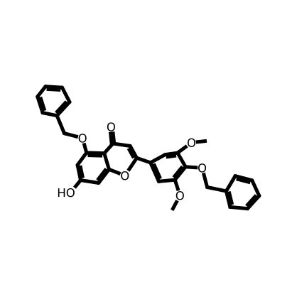 COc1cc(-c2cc(=O)c3c(OCc4ccccc4)cc(O)cc3o2)cc(OC)c1OCc1ccccc1